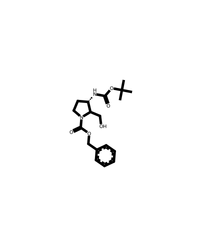 CC(C)(C)OC(=O)N[C@H]1CCN(C(=O)OCc2ccccc2)C1CO